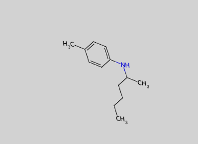 CCCCC(C)Nc1ccc(C)cc1